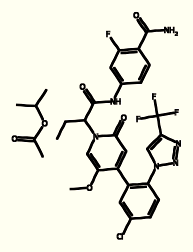 CC(=O)OC(C)C.CCC(C(=O)Nc1ccc(C(N)=O)c(F)c1)n1cc(OC)c(-c2cc(Cl)ccc2-n2cc(C(F)(F)F)nn2)cc1=O